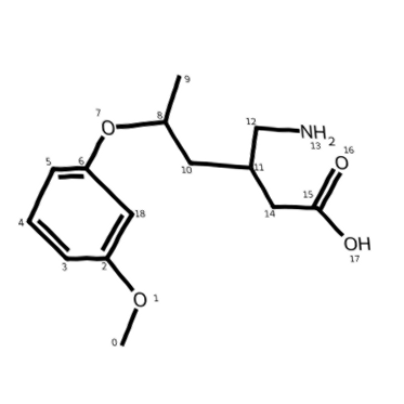 COc1cccc(OC(C)CC(CN)CC(=O)O)c1